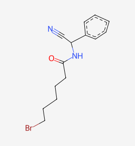 N#CC(NC(=O)CCCCCBr)c1ccccc1